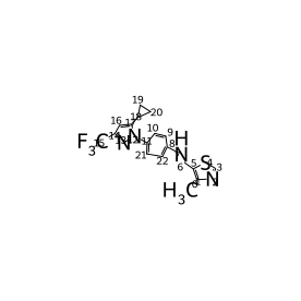 Cc1ncsc1CNc1ccc(-n2nc(C(F)(F)F)cc2C2CC2)cc1